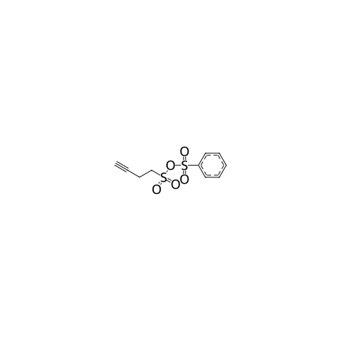 C#CCCS(=O)(=O)OS(=O)(=O)c1ccccc1